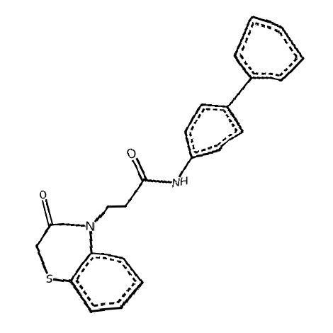 O=C(CCN1C(=O)CSc2ccccc21)Nc1ccc(-c2ccccc2)cc1